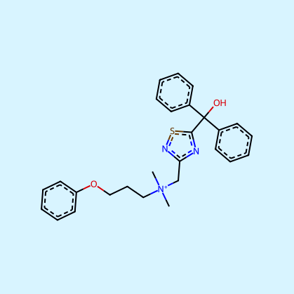 C[N+](C)(CCCOc1ccccc1)Cc1nsc(C(O)(c2ccccc2)c2ccccc2)n1